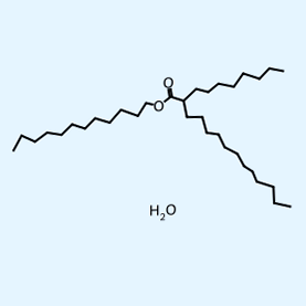 CCCCCCCCCCCCOC(=O)C(CCCCCCCC)CCCCCCCCCCCC.O